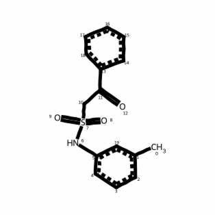 Cc1cccc(NS(=O)(=O)CC(=O)c2ccccc2)c1